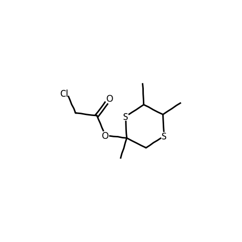 CC1SCC(C)(OC(=O)CCl)SC1C